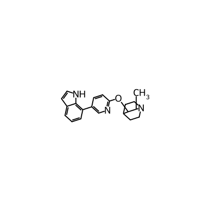 CC1C(Oc2ccc(-c3cccc4cc[nH]c34)cn2)C2CCN1CC2